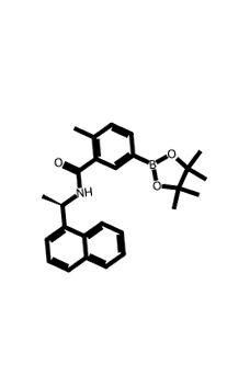 Cc1ccc(B2OC(C)(C)C(C)(C)O2)cc1C(=O)N[C@H](C)c1cccc2ccccc12